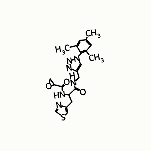 Cc1cc(C)c(-n2cc(CNC(=O)C(Cc3cscn3)NC(=O)C3CO3)nn2)c(C)c1